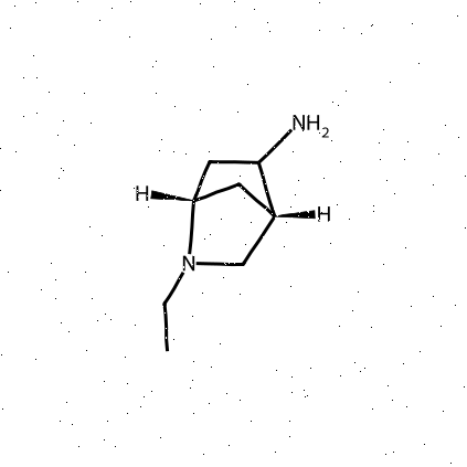 CCN1C[C@@H]2C[C@H]1CC2N